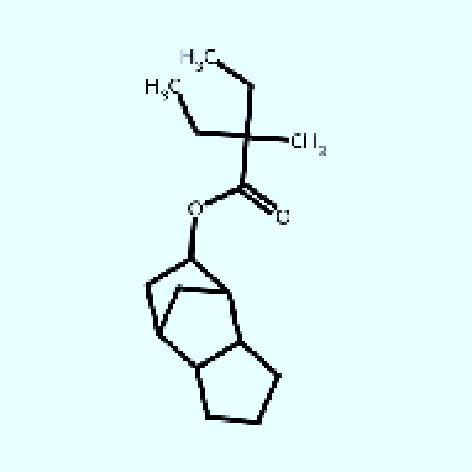 CCC(C)(CC)C(=O)OC1CC2CC1C1CCCC21